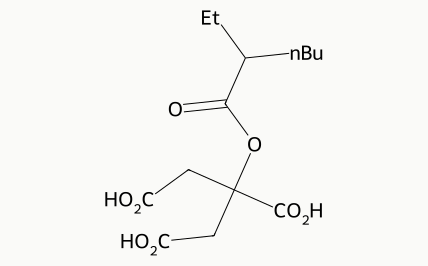 CCCCC(CC)C(=O)OC(CC(=O)O)(CC(=O)O)C(=O)O